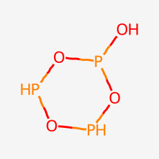 OP1OPOPO1